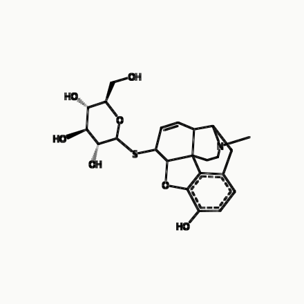 CN1CCC23c4c5ccc(O)c4OC2C(SC2O[C@H](CO)[C@@H](O)[C@H](O)[C@H]2O)C=CC3C1C5